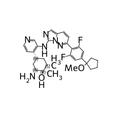 COC1(c2cc(F)c(-c3ccc4cnc(Nc5cnccc5[C@H]5C[C@@H](N)[C@](C)(O)[C@@H](C)C5)n4n3)c(F)c2)CCCC1